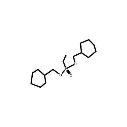 CCP(=O)(OCC1CCCCC1)OCC1CCCCC1